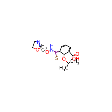 C1=NCCO1.CONP(=S)=C1C=CC=C(C(=O)O)C1OC(C)C